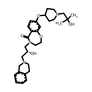 CC(C)(O)CN1CCC(Oc2ccc3c(c2)OCCN(C[C@H](O)CN2CCc4ccccc4C2)C3=O)CC1